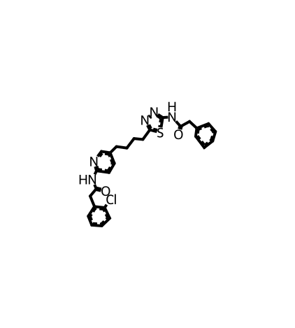 O=C(Cc1ccccc1Cl)Nc1ccc(CCCCc2nnc(NC(=O)Cc3ccccc3)s2)cn1